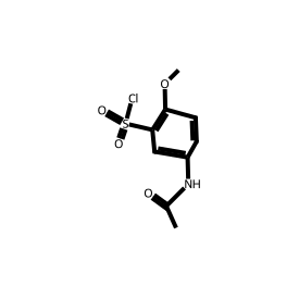 COc1ccc(NC(C)=O)cc1S(=O)(=O)Cl